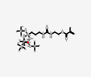 C=C(C)C(=O)OCCNC(=O)NCCC[Si](O[SiH](O[Si](C)(C)C)O[Si](C)(C)C)(O[Si](C)(C)C)O[Si](C)(C)C